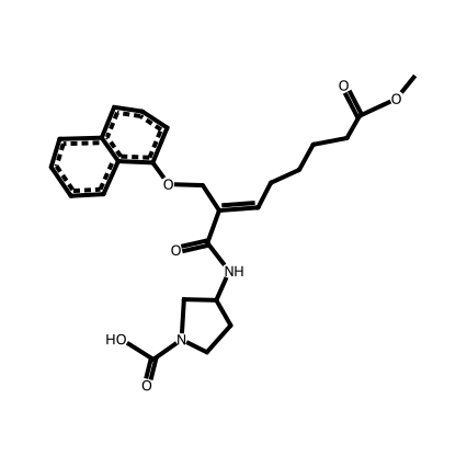 COC(=O)CCCC/C=C(\COc1cccc2ccccc12)C(=O)NC1CCN(C(=O)O)C1